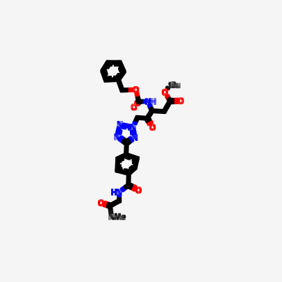 CNC(=O)CNC(=O)c1ccc(-c2nnn(CC(=O)C(CC(=O)OC(C)(C)C)NC(=O)OCc3ccccc3)n2)cc1